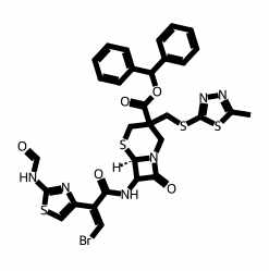 Cc1nnc(SCC2(C(=O)OC(c3ccccc3)c3ccccc3)CS[C@@H]3C(NC(=O)C(=CBr)c4csc(NC=O)n4)C(=O)N3C2)s1